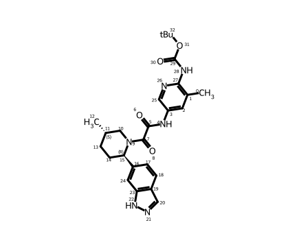 Cc1cc(NC(=O)C(=O)N2C[C@@H](C)CC[C@@H]2c2ccc3cn[nH]c3c2)cnc1NC(=O)OC(C)(C)C